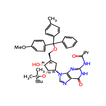 COc1ccc(C(OC[C@H]2C[C@@H](n3cnc4c(=O)[nH]c(NC(=O)C(C)C)nc43)[C@H](O[Si](C)(C)C(C)(C)C)[C@@H]2O)(c2ccccc2)c2ccc(C)cc2)cc1